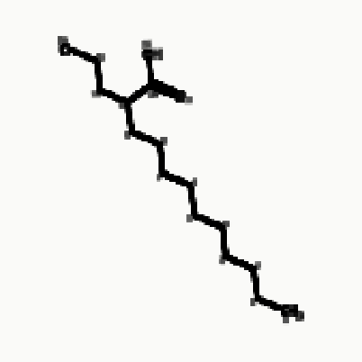 CCCCCCCCCCC(CCCl)C(=O)O